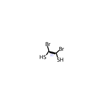 S/C(Br)=C(\S)Br